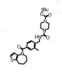 Cc1cc(C(=O)N2CCCCc3sccc32)ccc1CNC(=O)N1CCN(C(=O)OC(C)(C)C)CC1